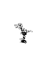 Cc1cc(OCCNc2ccncc2)cc(C(=O)N(CCC(=O)NC(C)(C)C)C(C)C)c1